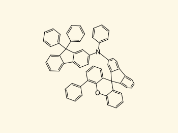 c1ccc(-c2cccc3c2Oc2ccccc2C32c3ccccc3-c3ccc(N(c4ccccc4)c4ccc5c(c4)C(c4ccccc4)(c4ccccc4)c4ccccc4-5)cc32)cc1